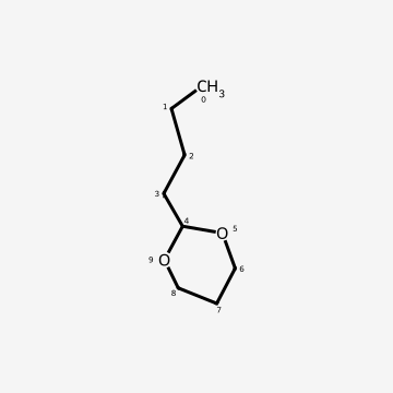 CCC[CH]C1OCCCO1